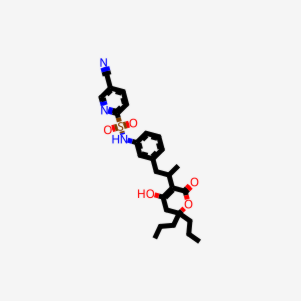 CCCC1(CCC)CC(O)=C(C(C)Cc2cccc(NS(=O)(=O)c3ccc(C#N)cn3)c2)C(=O)O1